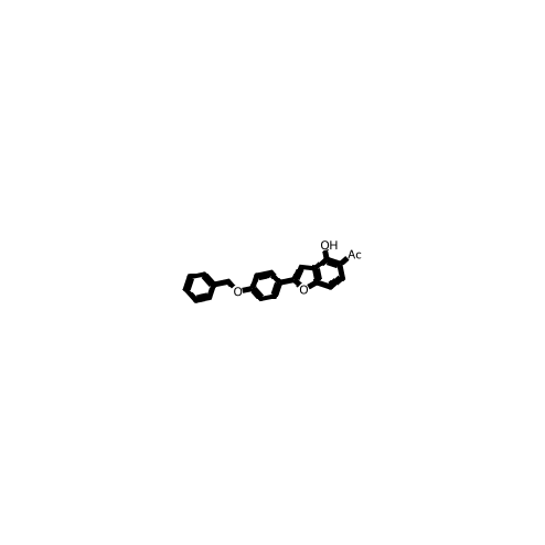 CC(=O)c1ccc2oc(-c3ccc(OCc4ccccc4)cc3)cc2c1O